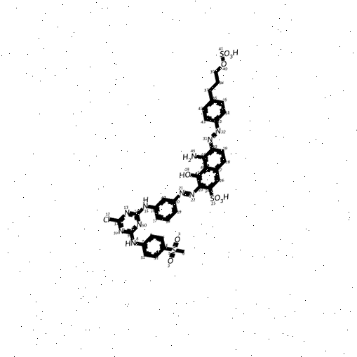 CS(=O)(=O)c1ccc(Nc2nc(Cl)nc(Nc3cccc(/N=N/c4c(S(=O)(=O)O)cc5ccc(/N=N/c6ccc(CCCOS(=O)(=O)O)cc6)c(N)c5c4O)c3)n2)cc1